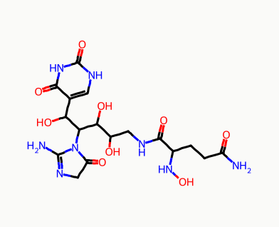 NC(=O)CCC(NO)C(=O)NCC(O)C(O)C(C(O)c1c[nH]c(=O)[nH]c1=O)N1C(=O)CN=C1N